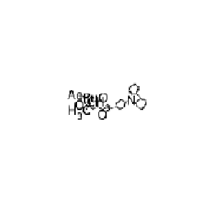 CC(=O)CC(=O)C(C)(C)CC(C(=O)CCc1ccc(-n2c3ccccc3c3ccccc32)cc1)C(=O)C(C)(C)C